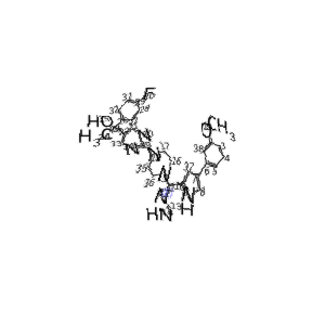 COc1cccc(-c2c[nH]c(/C(=N\C=N)N3CCN(c4ncc([C@@](C)(O)c5ccc(F)cc5)cn4)CC3)c2)c1